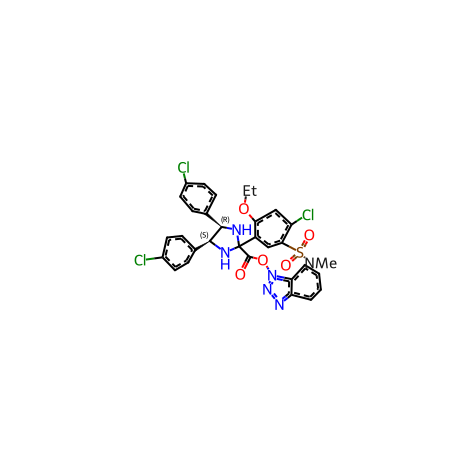 CCOc1cc(Cl)c(S(=O)(=O)NC)cc1C1(C(=O)On2nnc3ccccc32)N[C@H](c2ccc(Cl)cc2)[C@H](c2ccc(Cl)cc2)N1